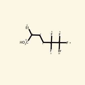 CCC(CCC(F)(F)C(F)(F)Br)C(=O)O